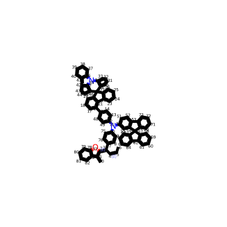 C=c1/c(=C(\C=C/C)c2ccc(N(c3ccc(-c4cccc5c4-c4ccccc4C54c5ccccc5-n5c6ccccc6c6cccc4c65)cc3)c3ccc4c(c3)C3(c5ccccc5-c5ccccc53)c3ccccc3-4)cc2)oc2ccccc12